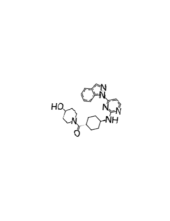 O=C([C@H]1CC[C@H](Nc2nccc(-n3ncc4ccccc43)n2)CC1)N1CCC(O)CC1